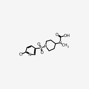 CN(C(=O)O)C1CCN(S(=O)(=O)c2ccc(Cl)nc2)CC1